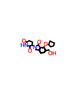 O=C1CCC(N2Cc3ccc(CO)c(OC4CCCC4)c3C2=O)C(=O)N1